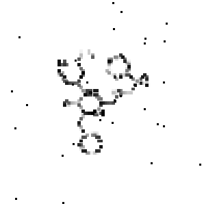 CC(C)C[C@H](C=O)NC(=O)C(Cc1ccccc1)NC(=O)CNCC1(c2ccccc2)CC1